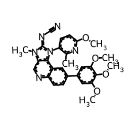 COc1ccc(-n2c(=NC#N)n(C)c3cnc4ccc(-c5cc(OC)c(OC)c(OC)c5)cc4c32)c(C)n1